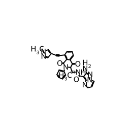 C[C@H](NC(=O)c1c(N)nn2cccnc12)C1C(=O)c2cccc(C#Cc3cnn(C)c3)c2C(=O)N1c1ccccc1